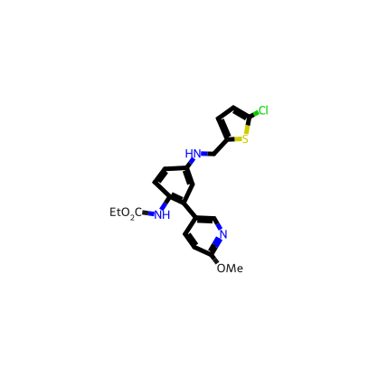 CCOC(=O)Nc1ccc(NCc2ccc(Cl)s2)cc1-c1ccc(OC)nc1